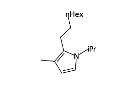 CCCCCCCCc1c(C)ccn1C(C)C